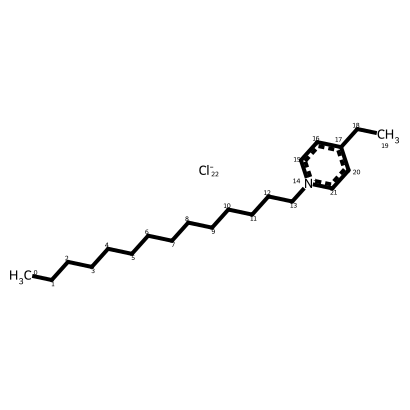 CCCCCCCCCCCCCC[n+]1ccc(CC)cc1.[Cl-]